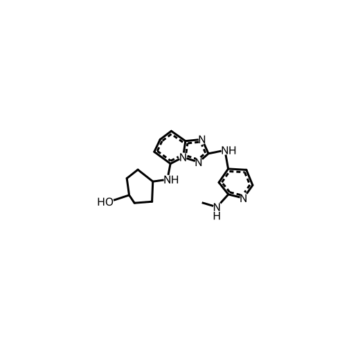 CNc1cc(Nc2nc3cccc(NC4CCC(O)CC4)n3n2)ccn1